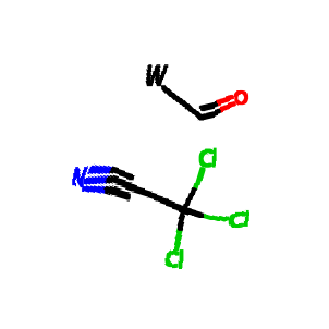 N#CC(Cl)(Cl)Cl.O=[CH][W]